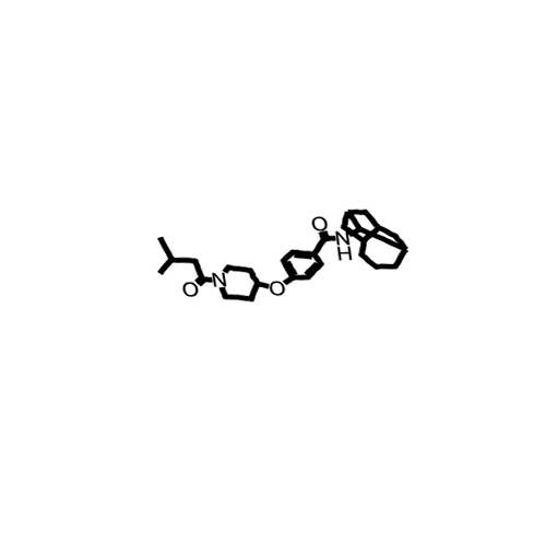 CC(C)CC(=O)N1CCC(Oc2ccc(C(=O)NC3C4CCCC5CC3CC5C4)cc2)CC1